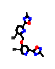 Cc1noc(-c2cc(OCc3nc(-c4nc(C)no4)ccc3C(C)C)c(C(C)C)cn2)n1